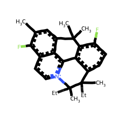 CCC1(C)c2ccc(F)c3c2-c2c4c(cc(C)c(F)c4cc[n+]2C1(C)CC)C3(C)C